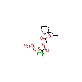 CCCC1(OC(=O)COC(=O)C(F)(F)SOOO)CCCCC1